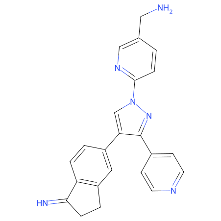 N=C1CCc2cc(-c3cn(-c4ccc(CN)cn4)nc3-c3ccncc3)ccc21